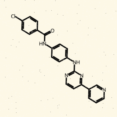 O=C(Nc1ccc(Nc2nccc(-c3cccnc3)n2)cc1)c1ccc(Cl)cc1